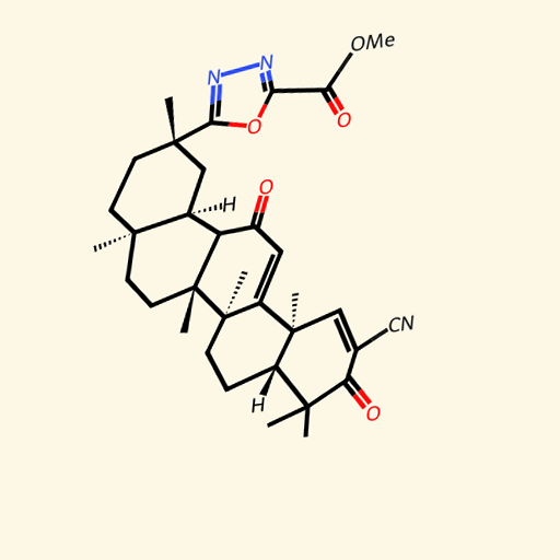 COC(=O)c1nnc([C@@]2(C)CC[C@]3(C)CC[C@]4(C)C(C(=O)C=C5[C@@]6(C)C=C(C#N)C(=O)C(C)(C)[C@@H]6CC[C@]54C)[C@@H]3C2)o1